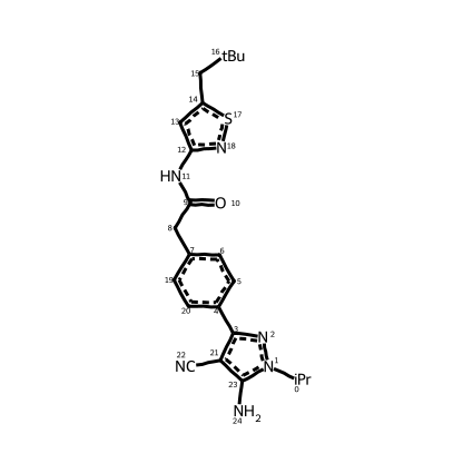 CC(C)n1nc(-c2ccc(CC(=O)Nc3cc(CC(C)(C)C)sn3)cc2)c(C#N)c1N